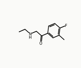 CCNCC(=O)c1ccc(F)c(C)c1